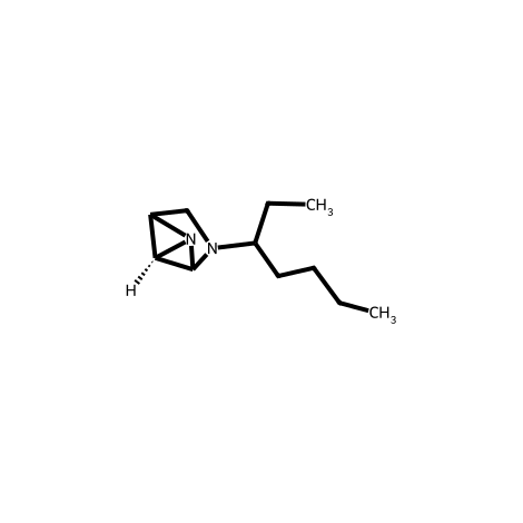 CCCCC(CC)N1CC2[C@@H]3C1N23